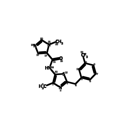 Cc1nc(Cc2cccc(C(F)(F)F)c2)sc1NC(=O)c1cncn1C